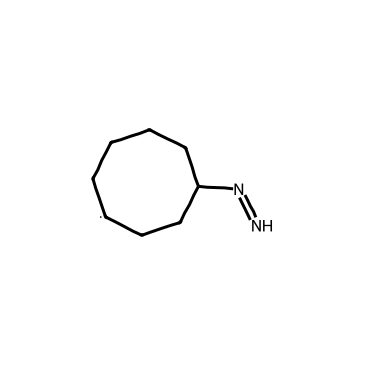 N=NC1CC[CH]CCCC1